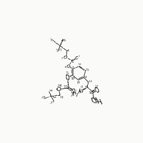 CC(C)(C)COC(=O)Oc1ccc(C[C@H]([AsH2])C(=O)O)cc1OC(=O)OCC(C)(C)C